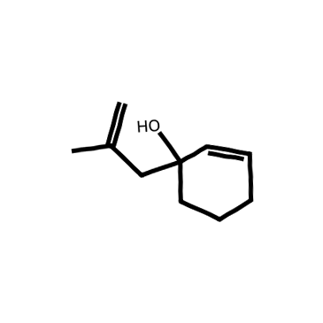 C=C(C)CC1(O)C=CCCC1